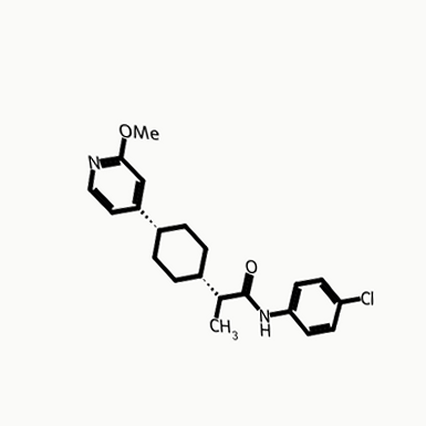 COc1cc([C@H]2CC[C@@H](C(C)C(=O)Nc3ccc(Cl)cc3)CC2)ccn1